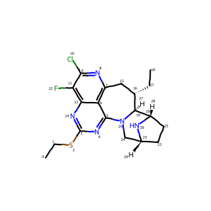 CCSc1nc2c3c(nc(Cl)c(F)c3n1)C[C@H](CC)[C@H]1[C@@H]3CC[C@H](CN21)N3